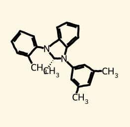 Cc1cc(C)cc(N2c3ccccc3N(c3ccccc3C)[C@H]2C)c1